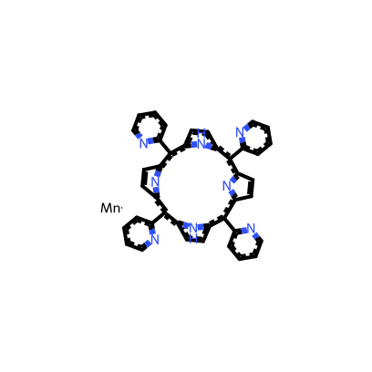 C1=Cc2nc1c(-c1ccccn1)c1ccc([nH]1)c(-c1ccccn1)c1nc(c(-c3ccccn3)c3ccc([nH]3)c2-c2ccccn2)C=C1.[Mn]